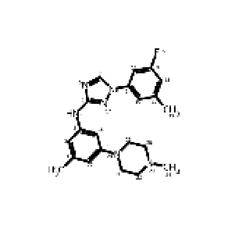 Cc1cc(Nc2ncn(-c3cc(C)cc(F)c3)n2)cc(N2CCN(C)CC2)c1